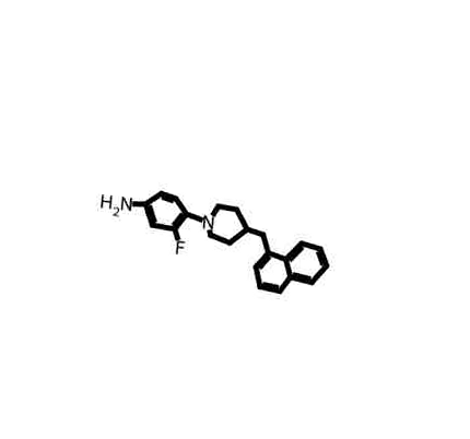 Nc1ccc(N2CCC(Cc3cccc4ccccc34)CC2)c(F)c1